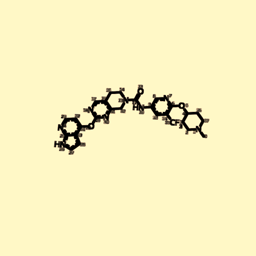 CN1CCC(Oc2ncc(NC(=O)N3CCc4cnc(Oc5ccnc6[nH]ccc56)nc4C3)cc2C(F)(F)F)CC1